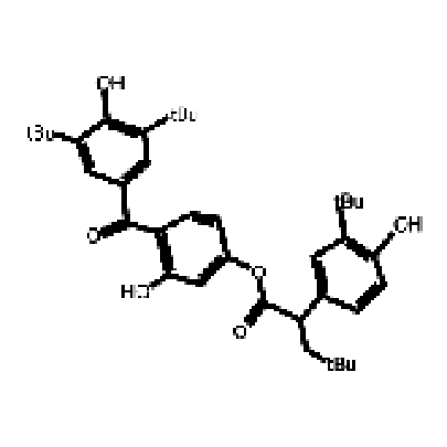 CC(C)(C)CC(C(=O)Oc1ccc(C(=O)c2cc(C(C)(C)C)c(O)c(C(C)(C)C)c2)c(O)c1)c1ccc(O)c(C(C)(C)C)c1